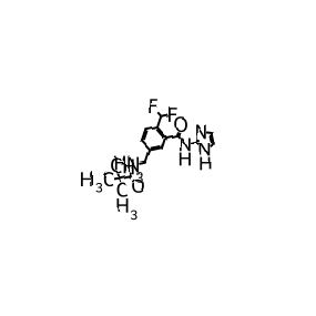 CC(C)(C)C(=O)NCc1ccc(C(F)F)c(C(=O)Nc2ncc[nH]2)c1